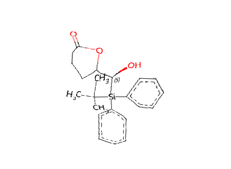 CC(C)(C)[Si](c1ccccc1)(c1ccccc1)[C@H](O)C1CCC(=O)O1